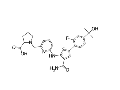 CC(C)(O)c1ccc(-c2cc(C(N)=O)c(Nc3cccc(CN4CCCC4C(=O)O)n3)s2)c(F)c1